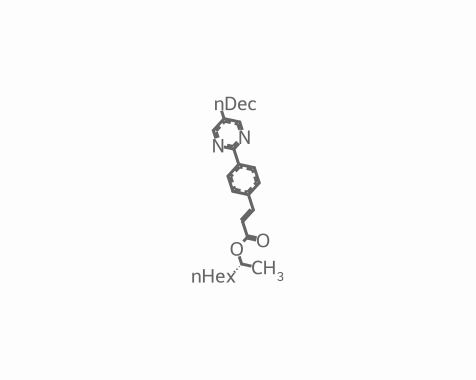 CCCCCCCCCCc1cnc(-c2ccc(C=CC(=O)O[C@H](C)CCCCCC)cc2)nc1